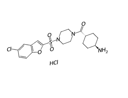 Cl.N[C@H]1CC[C@H](C(=O)N2CCN(S(=O)(=O)c3cc4cc(Cl)ccc4o3)CC2)CC1